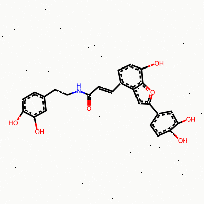 O=C(/C=C/c1ccc(O)c2oc(-c3ccc(O)c(O)c3)cc12)NCCc1ccc(O)c(O)c1